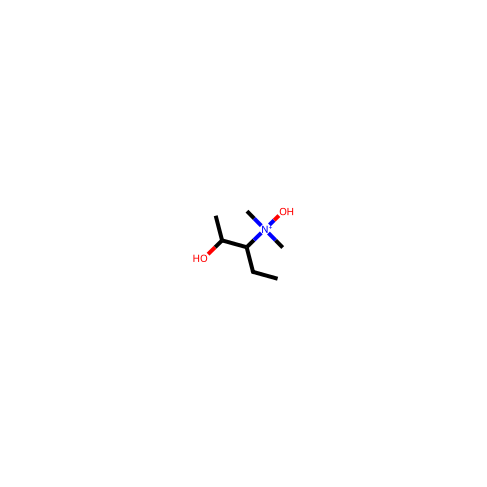 CCC(C(C)O)[N+](C)(C)O